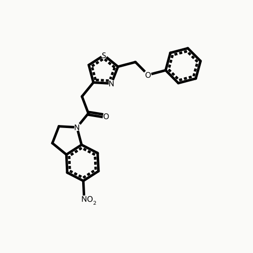 O=C(Cc1csc(COc2ccccc2)n1)N1CCc2cc([N+](=O)[O-])ccc21